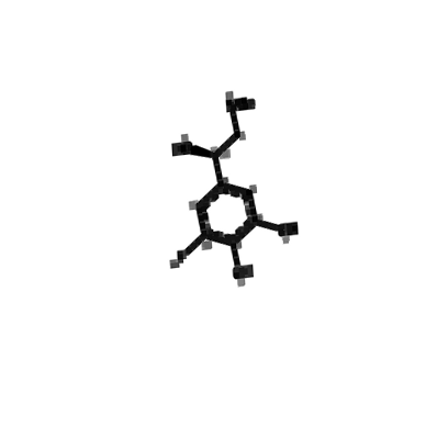 CNC[C@H](O)c1cc(O)c(O)c(F)c1